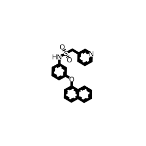 O=S(=O)(Cc1cccnc1)Nc1cccc(Oc2cccc3ccccc23)c1